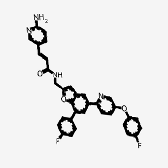 Nc1ccc(C=CC(=O)NCc2cc3cc(-c4ccc(Oc5ccc(F)cc5)cn4)cc(-c4ccc(F)cc4)c3o2)cn1